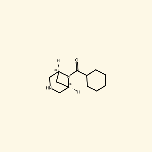 O=C(C1CCCCC1)N1[C@@H]2CNC[C@H]1C2